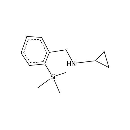 C[Si](C)(C)c1ccccc1CNC1CC1